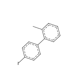 Cc1ccccc1-c1ccc(I)cc1